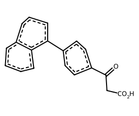 O=C(O)CC(=O)c1ccc(-c2cccc3ccccc23)cc1